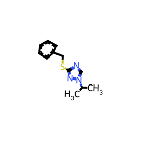 CC(C)n1cnc(SCc2ccccc2)n1